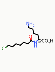 NCCCC[C@H](NC(=O)CCCCCCCl)C(=O)O